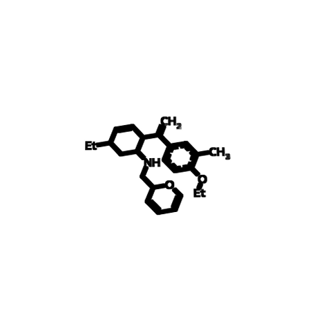 C=C(c1ccc(OCC)c(C)c1)C1C=CC(CC)CC1NCC1C=CC=CO1